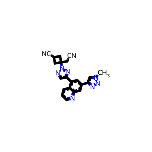 Cn1cc(-c2cc(-c3cnn(C4(CC#N)CC(C#N)C4)n3)c3cccnc3c2)nn1